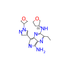 CCc1nc2c(N)ncc(-c3cnn(C4COC4)c3)c2nc1N[C@H]1CCOC1